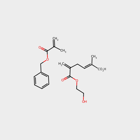 C=C(C)C(=O)OCc1ccccc1.C=C(CC=C(C)C(=O)O)C(=O)OCCO